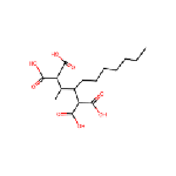 CCCCCCCC(C(C(=O)O)C(=O)O)C(C)C(C(=O)O)C(=O)O